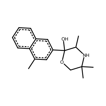 Cc1cc(C2(O)OCC(C)(C)NC2C)cc2ccccc12